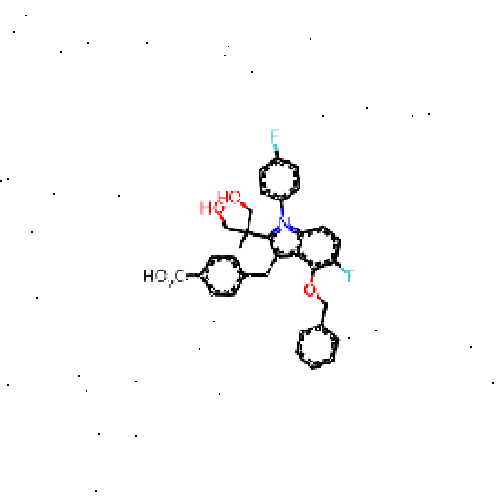 CC(CO)(CO)c1c(Cc2ccc(C(=O)O)cc2)c2c(OCc3ccccc3)c(F)ccc2n1-c1ccc(F)cc1